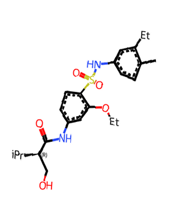 CCOc1cc(NC(=O)[C@@H](CO)C(C)C)ccc1S(=O)(=O)Nc1ccc(C)c(CC)c1